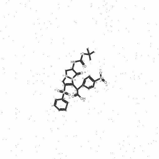 CC(C)(C)OC(=O)NC1CN2CC(S(=O)(=O)c3ccccc3)=C(C(C(=O)O)c3ccc([N+](=O)[O-])cc3)N2C1=O